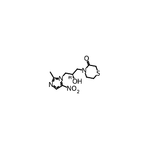 Cc1ncc([N+](=O)[O-])n1C[C@H](O)CN1CCSCC1=O